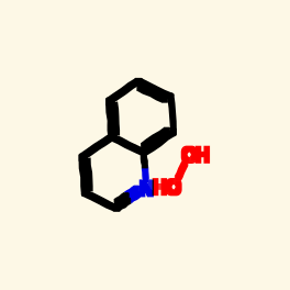 OO.c1ccc2ncccc2c1